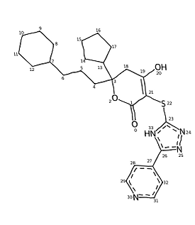 O=C1OC(CCCC2CCCCC2)(C2CCCC2)CC(O)=C1Sc1nnc(-c2ccncc2)[nH]1